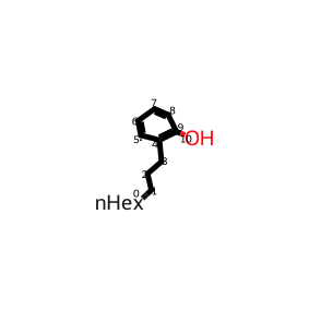 CCCCCCCCCc1[c]cccc1O